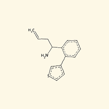 C=CCC(N)c1ccccc1-c1ccsc1